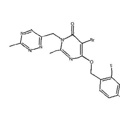 Cc1ncc(Cn2c(C)nc(OCc3ccc(F)cc3F)c(Br)c2=O)nn1